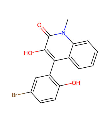 Cn1c(=O)c(O)c(-c2cc(Br)ccc2O)c2ccccc21